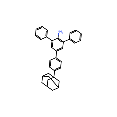 Nc1c(-c2ccccc2)cc(-c2ccc(C34CC5CC(CC(C5)C3)C4)cc2)cc1-c1ccccc1